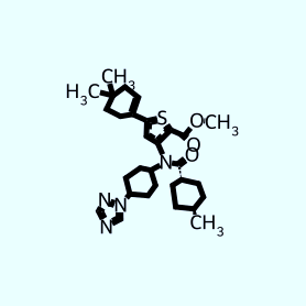 COC(=O)c1sc(C2=CCC(C)(C)CC2)cc1N(C(=O)[C@H]1CC[C@H](C)CC1)C1CCC(n2cncn2)CC1